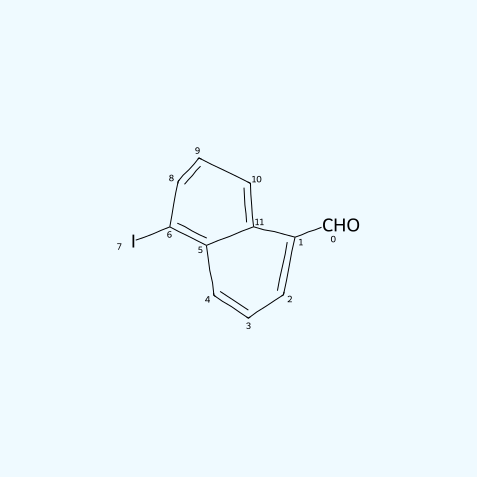 O=Cc1cccc2c(I)cccc12